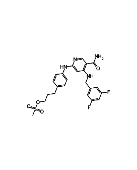 CS(=O)(=O)OCCCc1ccc(Nc2cc(NCc3cc(F)cc(F)c3)c(C(N)=O)cn2)cc1